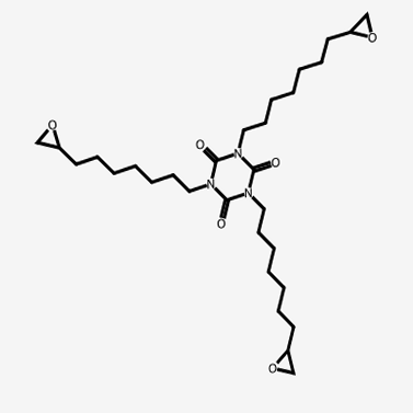 O=c1n(CCCCCCCC2CO2)c(=O)n(CCCCCCCC2CO2)c(=O)n1CCCCCCCC1CO1